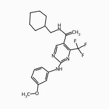 C=C(NCC1CCCCC1)c1cnc(Nc2cccc(OC)c2)nc1C(F)(F)F